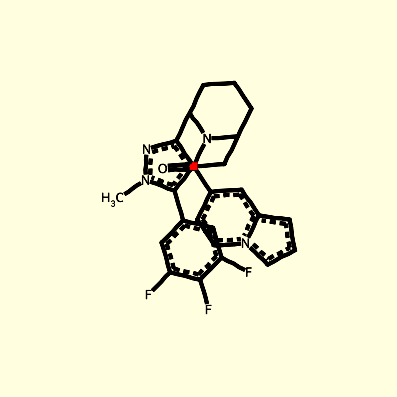 Cn1nc2c(c1-c1cc(F)c(F)c(F)c1)CC1CCCC2N1C(=O)c1ccn2cccc2c1